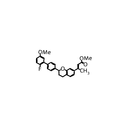 COC(=O)C=C(C)c1ccc2c(c1)OC(c1ccc(-c3cc(OC)ccc3F)cc1)CC2